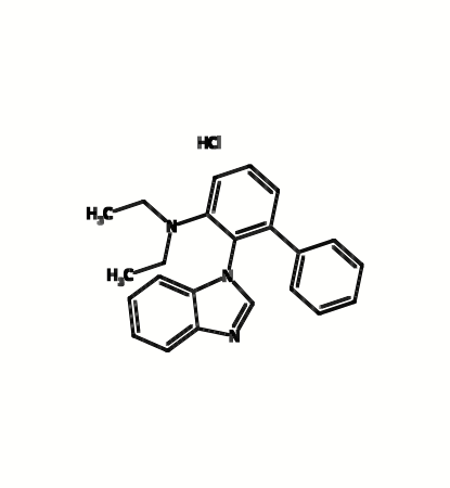 CCN(CC)c1cccc(-c2ccccc2)c1-n1cnc2ccccc21.Cl